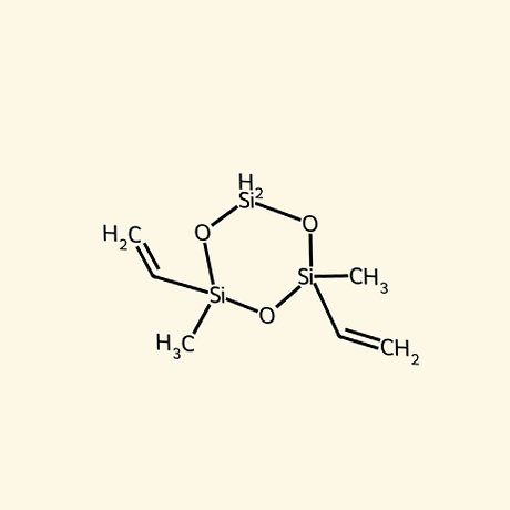 C=C[Si]1(C)O[SiH2]O[Si](C)(C=C)O1